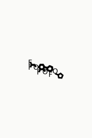 FC(F)=COc1ccc2c(oc3c(F)c(OCC4CCCC4)ccc32)c1F